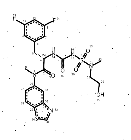 CN(C(=O)[C@H](Cc1cc(F)cc(F)c1)NC(=O)NS(=O)(=O)N(C)CCO)c1ccc2scnc2c1